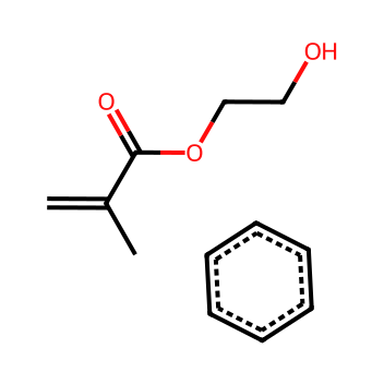 C=C(C)C(=O)OCCO.c1ccccc1